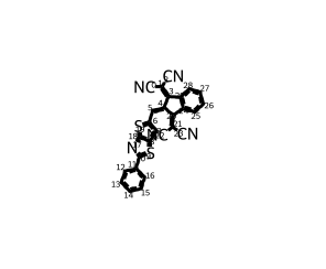 N#CC(C#N)=C1C(=Cc2cc3sc(-c4ccccc4)nc3s2)C(=C(C#N)C#N)c2ccccc21